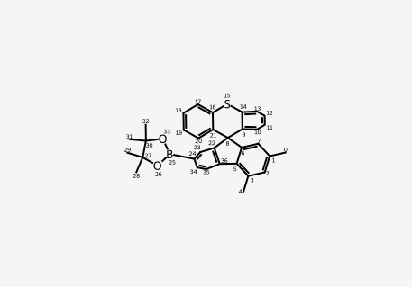 Cc1cc(C)c2c(c1)C1(c3ccccc3Sc3ccccc31)c1cc(B3OC(C)(C)C(C)(C)O3)ccc1-2